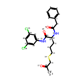 O=C(Cc1ccccc1)N[C@@H](CCCSCC(=O)C(F)(F)F)C(=O)Nc1cc(Cl)cc(Cl)c1